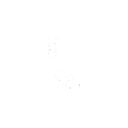 Nc1nc2cc(CCC3=CC(n4ccc5c(N)ncnc54)[C@@H](O)C3O)c(F)cc2cc1Cl